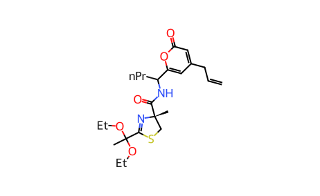 C=CCc1cc(C(CCC)NC(=O)[C@]2(C)CSC(C(C)(OCC)OCC)=N2)oc(=O)c1